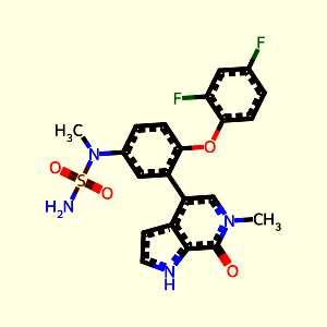 CN(c1ccc(Oc2ccc(F)cc2F)c(-c2cn(C)c(=O)c3[nH]ccc23)c1)S(N)(=O)=O